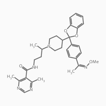 CO/N=C(/C)c1ccc(C2(C3CCN(C(C)CCNC(=O)c4c(C)ncnc4C)CC3)Oc3ccccc3O2)cc1